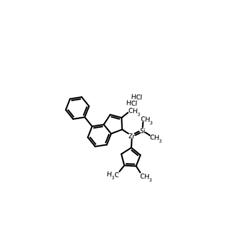 CC1=Cc2c(-c3ccccc3)cccc2[CH]1[Zr]([C]1=CC(C)=C(C)C1)=[Si](C)C.Cl.Cl